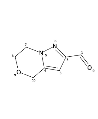 O=Cc1cc2n(n1)CCOC2